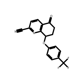 N#Cc1ccc2c(n1)C(Oc1ccc(C(F)(F)F)cc1)CCC2=O